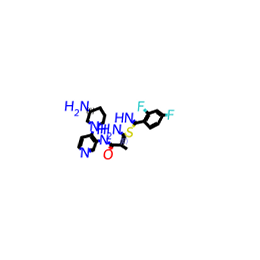 C/C(C(=O)Nc1cnccc1N1CCC[C@H](N)C1)=C(/N)SC(=N)c1ccc(F)cc1F